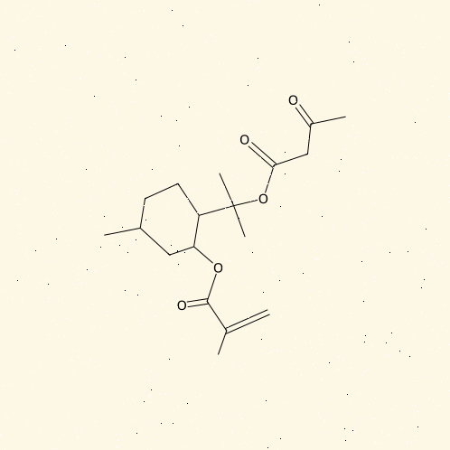 C=C(C)C(=O)OC1CC(C)CCC1C(C)(C)OC(=O)CC(C)=O